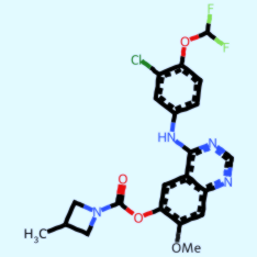 COc1cc2ncnc(Nc3ccc(OC(F)F)c(Cl)c3)c2cc1OC(=O)N1CC(C)C1